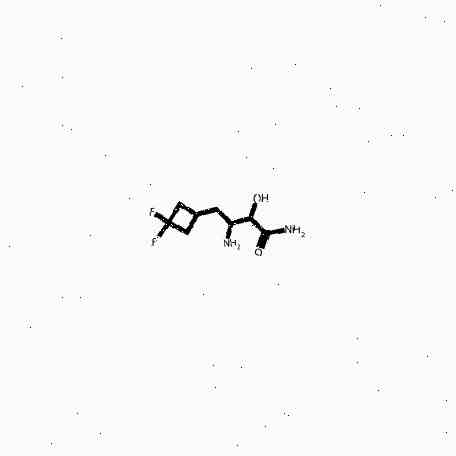 NC(=O)C(O)C(N)CC1CC(F)(F)C1